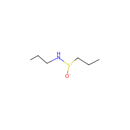 CCCN[S+]([O-])CCC